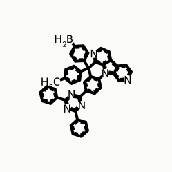 Bc1ccc(C2(c3ccc(C)cc3)c3cc(-c4nc(-c5ccccc5)nc(-c5ccccc5)n4)ccc3-n3c4cnccc4c4ccnc2c43)cc1